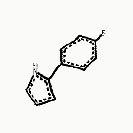 Fc1ccc(-c2c[c]c[nH]2)cc1